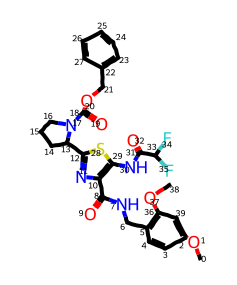 COc1ccc(CNC(=O)c2nc(C3CCCN3C(=O)OCc3ccccc3)sc2NC(=O)C(F)F)c(OC)c1